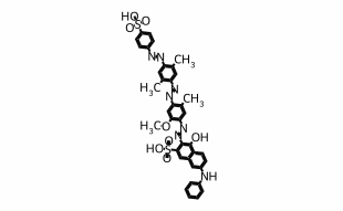 COc1cc(N=Nc2cc(C)c(N=Nc3ccc(S(=O)(=O)O)cc3)cc2C)c(C)cc1N=Nc1c(S(=O)(=O)O)cc2cc(Nc3ccccc3)ccc2c1O